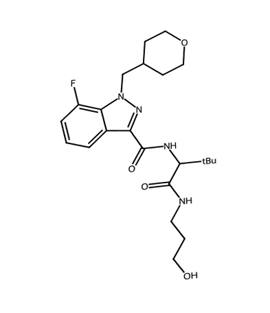 CC(C)(C)C(NC(=O)c1nn(CC2CCOCC2)c2c(F)cccc12)C(=O)NCCCO